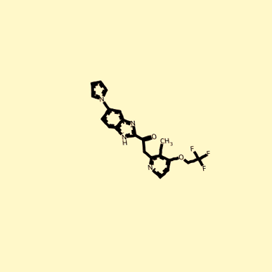 Cc1c(OCC(F)(F)F)ccnc1CC(=O)c1nc2cc(-n3cccc3)ccc2[nH]1